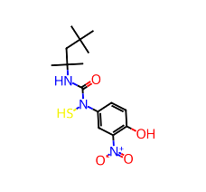 CC(C)(C)CC(C)(C)NC(=O)N(S)c1ccc(O)c([N+](=O)[O-])c1